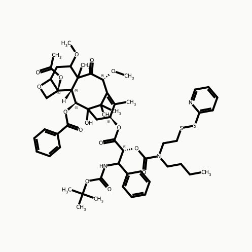 CCCCN(CCSSc1ccccn1)C(=O)O[C@@H](C(=O)O[C@H]1CC2(O)[C@@H](OC(=O)c3ccccc3)[C@H]3C(C)(C(=O)[C@H](OC)C(=C1C)C2(C)C)C(OC)CC1OC[C@]13OC(C)=O)C(NC(=O)OC(C)(C)C)c1ccccc1